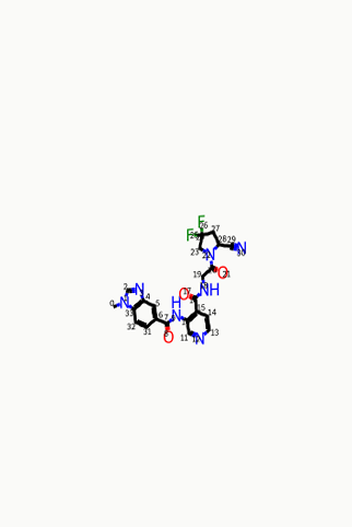 Cn1cnc2cc(C(=O)Nc3cnccc3C(=O)NCC(=O)N3CC(F)(F)CC3C#N)ccc21